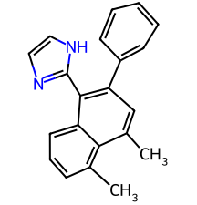 Cc1cccc2c(-c3ncc[nH]3)c(-c3ccccc3)cc(C)c12